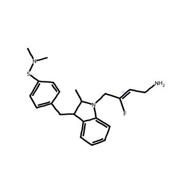 CC1C(Cc2ccc(SN(C)C)cc2)c2ccccc2N1C/C(F)=C/CN